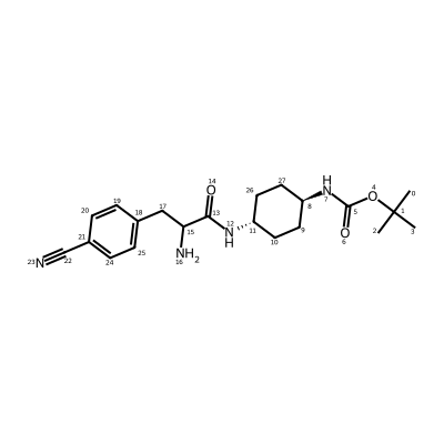 CC(C)(C)OC(=O)N[C@H]1CC[C@H](NC(=O)C(N)Cc2ccc(C#N)cc2)CC1